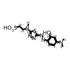 CN(C)c1ccc(N=Nc2nnc(N(C)CCS(=O)(=O)O)s2)c(O)c1